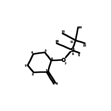 C=C1CCCCC1O[Si](C)(C)C(C)(C)C